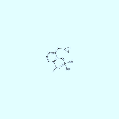 CC(C)c1cccc(CC2CC2)c1OP(=O)(O)O